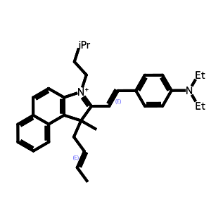 C/C=C/CC1(C)C(/C=C/c2ccc(N(CC)CC)cc2)=[N+](CCC(C)C)c2ccc3ccccc3c21